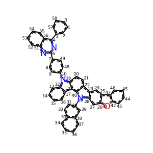 c1ccc(-c2nc(-c3ccc(-n4c5ccccc5c5c4ccc4c6cc7c(cc6n(-c6ccc8ccccc8c6)c45)oc4ccccc47)cc3)nc3ccccc23)cc1